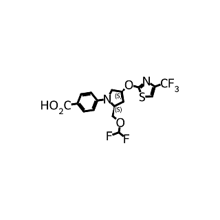 O=C(O)c1ccc(N2C[C@@H](Oc3nc(C(F)(F)F)cs3)C[C@H]2COC(F)F)cc1